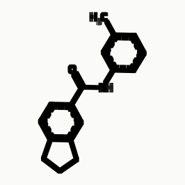 Cc1cccc(NC(=O)c2ccc3c(c2)CCC3)c1